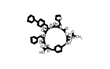 CC(=O)N[C@@H]1CC(=O)N[C@H](CC2CC=CS2)C(=O)N[C@@H](Cc2ccc(-c3ccccc3)cc2)C(=O)N[C@H](Cc2ccccc2)C(=O)N[C@H](C(=O)O)Cc2ccc(cc2)NC1=O